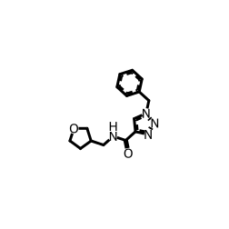 O=C(NCC1CCOC1)c1cn(Cc2ccccc2)nn1